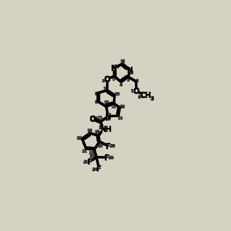 COCc1cc(Oc2ccc3c(ccn3C(=O)Nc3cccc(C(F)(F)F)c3F)c2)ncn1